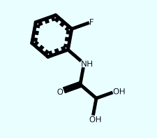 O=C(Nc1ccccc1F)C(O)O